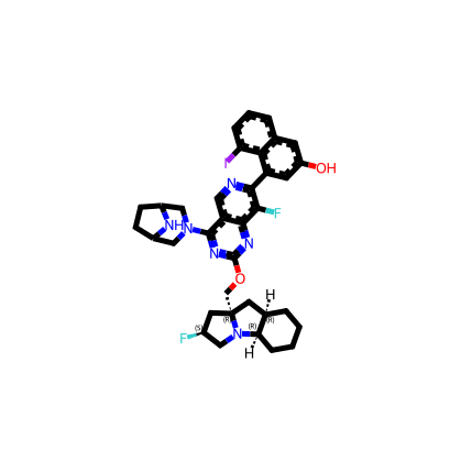 Oc1cc(-c2ncc3c(N4CC5CCC(C4)N5)nc(OC[C@@]45C[C@H](F)CN4[C@@H]4CCCC[C@@H]4C5)nc3c2F)c2c(I)cccc2c1